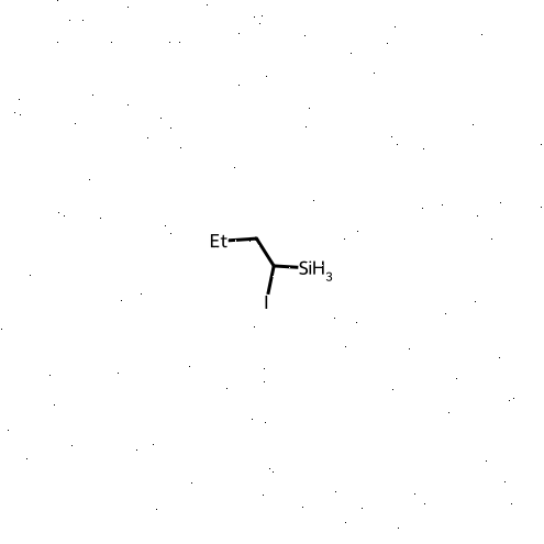 CCCC([SiH3])I